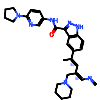 C=N/C=C(\C=C(/C)c1ccc2[nH]nc(C(=O)Nc3ccc(N4CCCC4)nc3)c2c1)CN1CCCCC1